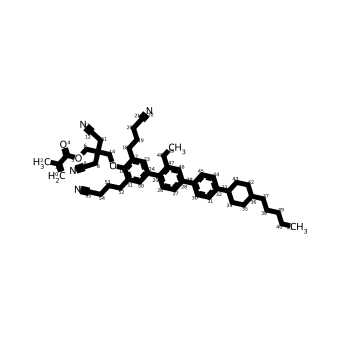 C=C(C)C(=O)OCC(CC#N)(CC#N)COc1c(CCCC#N)cc(-c2ccc(-c3ccc(C4CCC(CCCCC)CC4)cc3)cc2CC)cc1CCCC#N